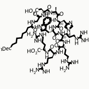 CCCCCCCCCCCCCCCCCC(=O)NCC(=O)N[C@@H](CC(=O)O)C(=O)N[C@@H](C)C(=O)N[C@@H](Cc1c[nH]cn1)C(=O)N[C@@H](Cc1c[nH]c2ccccc12)C(=O)N[C@@H](CCCNC(=N)N)C(=O)N[C@@H](CCCNC(=N)N)C(=O)N[C@@H](CCCNC(=N)N)C(=O)N[C@@H](CCCNC(=N)N)C(=O)O